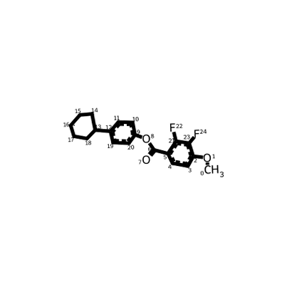 COc1ccc(C(=O)Oc2ccc(C3CC[CH]CC3)cc2)c(F)c1F